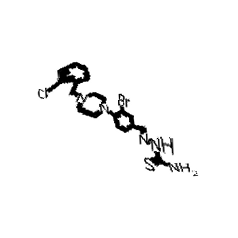 NC(=S)N/N=C/c1ccc(N2CCN(Cc3ccccc3Cl)CC2)c(Br)c1